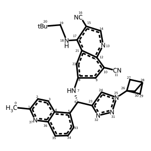 Cc1ccc2c([C@H](Nc3cc(C#N)c4ncc(C#N)c(NCC(C)(C)C)c4c3)c3cn(C45CC(C4)C5)nn3)cccc2n1